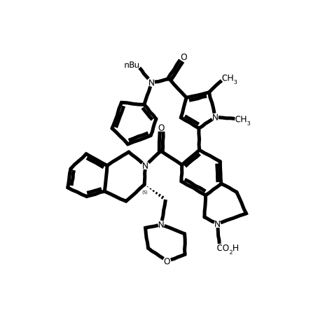 CCCCN(C(=O)c1cc(-c2cc3c(cc2C(=O)N2Cc4ccccc4C[C@H]2CN2CCOCC2)CN(C(=O)O)CC3)n(C)c1C)c1ccccc1